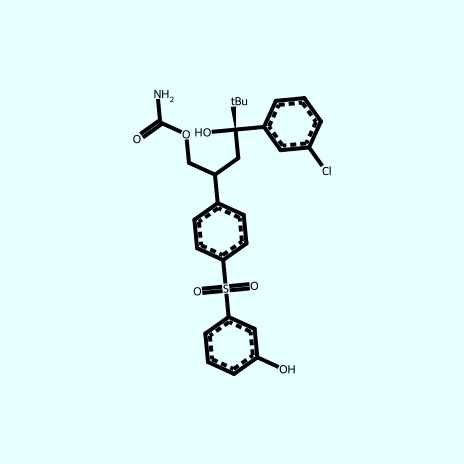 CC(C)(C)[C@](O)(CC(COC(N)=O)c1ccc(S(=O)(=O)c2cccc(O)c2)cc1)c1cccc(Cl)c1